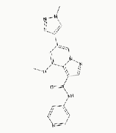 COc1cc(-c2cnn(C)c2)cn2ncc(C(=O)Nc3ccncc3)c12